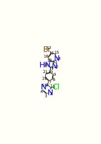 Clc1nccnc1-c1ccc(-c2nc3ncc(Br)cc3[nH]2)cc1